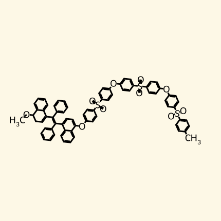 COC1CC=C(/C(=C(\c2ccccc2)c2ccc(Oc3ccc(S(=O)(=O)c4ccc(Oc5ccc(S(=O)(=O)c6ccc(Oc7ccc(S(=O)(=O)c8ccc(C)cc8)cc7)cc6)cc5)cc4)cc3)c3ccccc23)c2ccccc2)c2ccccc21